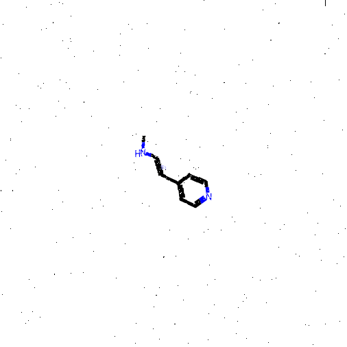 CN/C=C/c1ccncc1